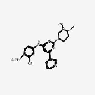 CC(=O)Nc1ccc(Nc2cc(-c3cccnc3)nc([C@@H]3CC[C@H](C)N(C(C)=O)C3)n2)cc1O